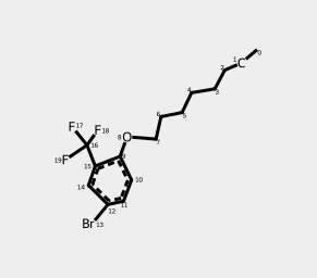 CCCCCCCCOc1ccc(Br)cc1C(F)(F)F